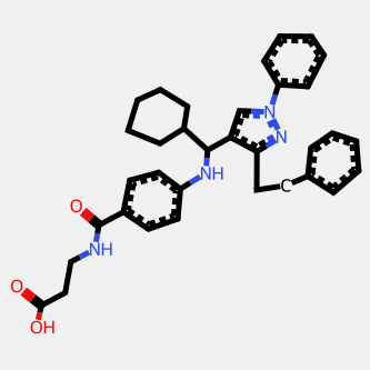 O=C(O)CCNC(=O)c1ccc(NC(c2cn(-c3ccccc3)nc2CCc2ccccc2)C2CCCCC2)cc1